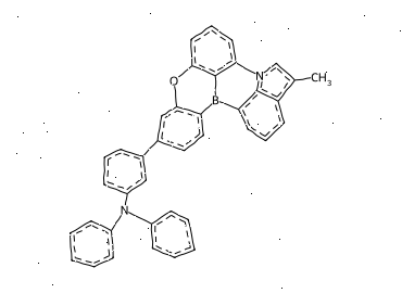 Cc1cn2c3c(cccc13)B1c3ccc(-c4cccc(N(c5ccccc5)c5ccccc5)c4)cc3Oc3cccc-2c31